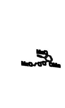 C#Cc1c(OC)ccc(OC)c1OCOCCOC